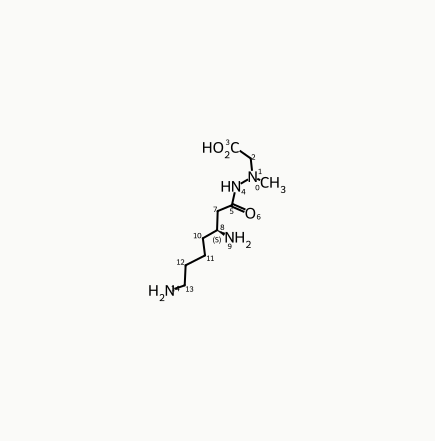 CN(CC(=O)O)NC(=O)C[C@@H](N)CCCCN